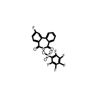 O=c1c2ccccc2c2cc(F)ccc2c(=O)n1OS(=O)(=O)c1c(F)c(F)c(F)c(F)c1F